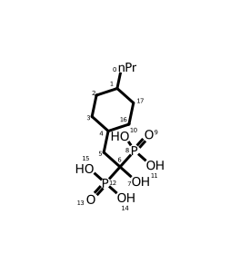 CCCC1CCC(CC(O)(P(=O)(O)O)P(=O)(O)O)CC1